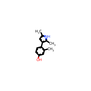 Cc1cc(-c2ccc(O)cc2C)c(C)[nH]1